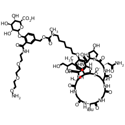 CC[C@H](C)[C@@H]1NC(=O)CNC(=O)[C@@H]2Cc3c([nH]c4cc(OCCCCCCN(C)C(=O)OCc5ccc(O[C@@H]6O[C@H](C(=O)O)[C@@H](O)[C@H](O)[C@H]6O)c(C(=O)NCCOCCOCCON)c5)ccc34)[S+]([O-])C[C@H](NC(=O)CNC1=O)C(=O)N[C@@H](CC(N)=O)C(=O)N1C[C@H](O)C[C@H]1C(=O)N[C@@H]([C@@H](C)[C@@H](O)CO)C(=O)N2